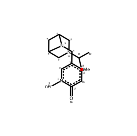 CCCn1cc(CN2C3CC2CN(C(C)SC)C3)ccc1=O